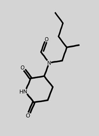 CCCC(C)CN(C=O)C1CCC(=O)NC1=O